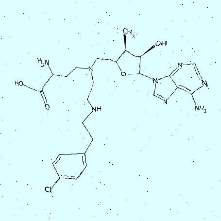 C[C@@H]1C(CN(CCNCCc2ccc(Cl)cc2)CCC(N)C(=O)O)OC(n2cnc3c(N)ncnc32)[C@@H]1O